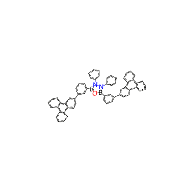 c1ccc(N2B(c3cccc(-c4ccc5c6ccccc6c6ccccc6c5c4)c3)OB(c3cccc(-c4ccc5c6ccccc6c6ccccc6c5c4)c3)N2c2ccccc2)cc1